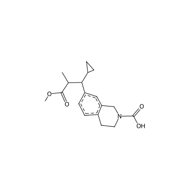 COC(=O)C(C)C(c1ccc2c(c1)CN(C(=O)O)CC2)C1CC1